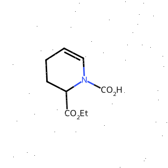 CCOC(=O)C1CCC=CN1C(=O)O